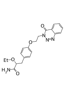 CCOC(Cc1ccc(OCCn2nnc3ccccc3c2=O)cc1)C(N)=O